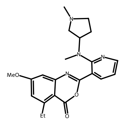 CCc1cc(OC)cc2nc(-c3cccnc3N(C)C3CCN(C)C3)oc(=O)c12